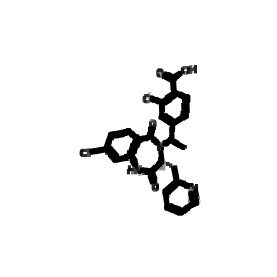 CC(c1ccc(C(=O)O)c(Cl)c1)N1C(=O)c2ccc(Cl)cc2NC(=O)[C@H]1Cc1ccccn1